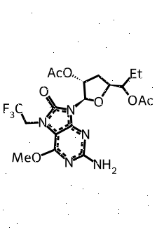 CCC(OC(C)=O)[C@@H]1C[C@@H](OC(C)=O)[C@H](n2c(=O)n(CC(F)(F)F)c3c(OC)nc(N)nc32)O1